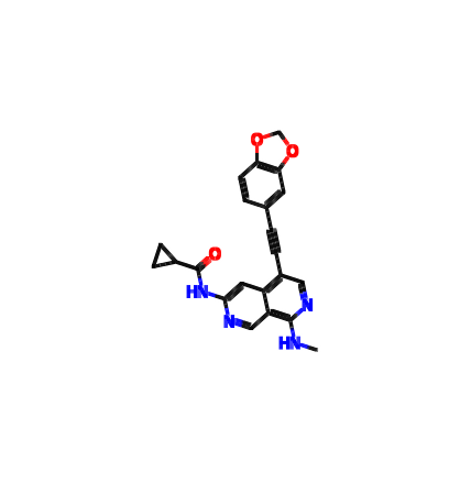 CNc1ncc(C#Cc2ccc3c(c2)OCO3)c2cc(NC(=O)C3CC3)ncc12